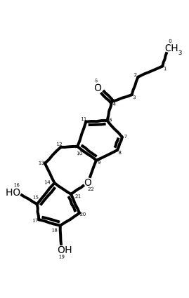 CCCCC(=O)c1ccc2c(c1)CCc1c(O)cc(O)cc1O2